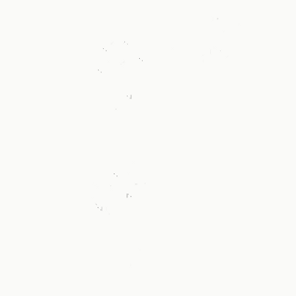 CCCCCCNC(=O)C(CSSCCC(=O)NCc1cn(C2CC(O)C(COP(=O)(O)OP(=O)(O)OP(=O)(O)O)O2)c2ncnc(N)c12)NC(=O)C(=O)[C@@H](N)CS